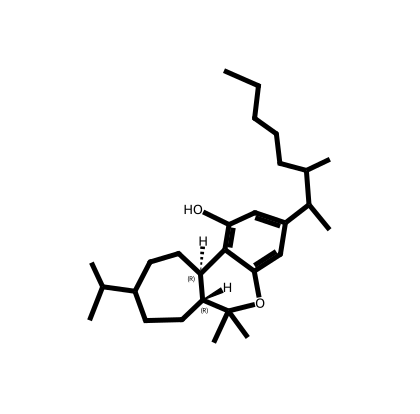 CCCCCC(C)C(C)c1cc(O)c2c(c1)OC(C)(C)[C@@H]1CCC(C(C)C)CC[C@@H]21